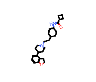 O=C(NC1CCC(CCN2CCC(c3cccc4c3CCO4)CC2)CC1)C1CCC1